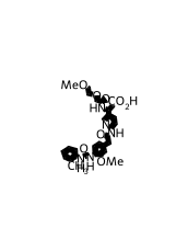 COCCOCC(=O)NC(CC(=O)O)c1ccc(NC(=O)Cc2ccc(NC(=O)Nc3ccccc3C)c(OC)c2)nc1